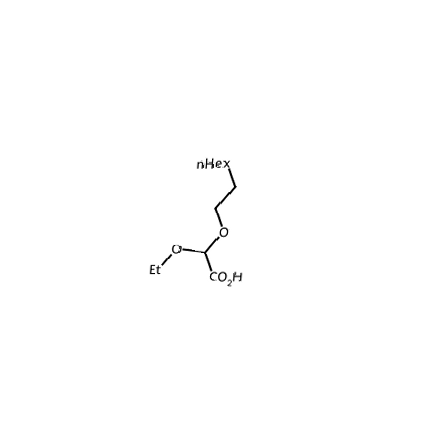 CCCCCCCCOC(OCC)C(=O)O